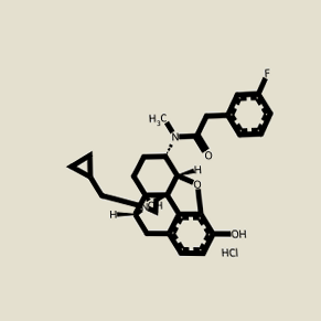 CN(C(=O)Cc1cccc(F)c1)[C@H]1CC[C@@]2(O)[C@H]3Cc4ccc(O)c5c4[C@@]2(CCN3CC2CC2)[C@H]1O5.Cl